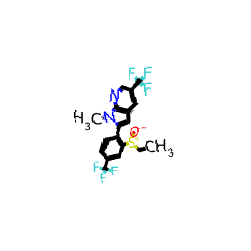 CC[S+]([O-])c1cc(C(F)(F)F)ccc1-c1cc2cc(C(F)(F)F)cnc2n1C